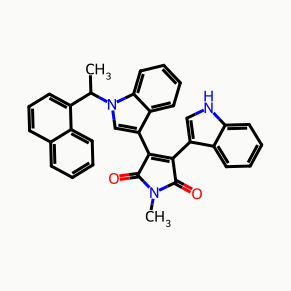 CC(c1cccc2ccccc12)n1cc(C2=C(c3c[nH]c4ccccc34)C(=O)N(C)C2=O)c2ccccc21